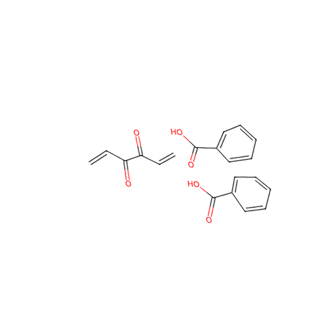 C=CC(=O)C(=O)C=C.O=C(O)c1ccccc1.O=C(O)c1ccccc1